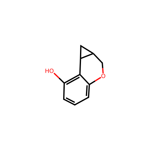 Oc1cccc2c1C1CC1CO2